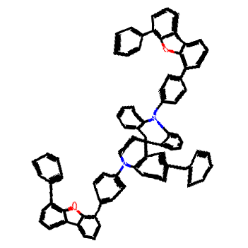 c1ccc(-c2ccc3c(c2)C2(c4ccccc4N(c4ccc(-c5cccc6c5oc5c(-c7ccccc7)cccc56)cc4)c4ccccc42)c2ccccc2N3c2ccc(-c3cccc4c3oc3c(-c5ccccc5)cccc34)cc2)cc1